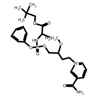 COC(CC[n+]1cccc(C(N)=O)c1)COP(=O)(NC(C)C(=O)OCC(C)(C)C)Oc1ccccc1